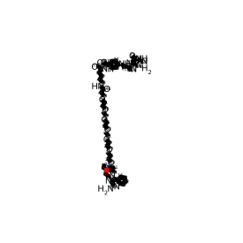 CCCCc1nc2c(N)nc3ccccc3c2n1CC(C)(C)COCCCOCCOCCOCCOCCOCCOCCC(=O)NCCCCC(NC(=O)c1ccc(NCc2cnc3nc(N)[nH]c(=O)c3n2)cc1)C(=O)O